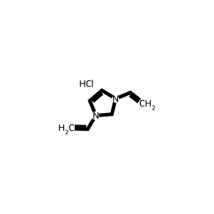 C=CN1C=CN(C=C)C1.Cl